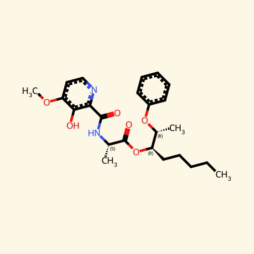 CCCCC[C@@H](OC(=O)[C@H](C)NC(=O)c1nccc(OC)c1O)[C@@H](C)Oc1ccccc1